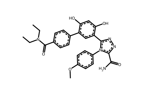 CCN(CC)C(=O)c1ccc(-c2cc(-c3nnc(C(N)=O)n3-c3ccc(OC)cc3)c(O)cc2O)cc1